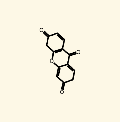 O=C1C=c2oc3c(c(=O)c2=CC1)C=CC(=O)C3